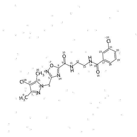 Cc1nn(Cc2noc(C(=O)NCCNC(=O)c3cccc(Cl)c3)n2)c(C)c1Cl